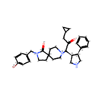 O=C(CC1CC1)C([C@@H]1CNC[C@@H]1c1ccccc1)N1CCC2(CCN(Cc3ccc(Br)cc3)C2=O)CC1